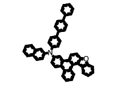 c1ccc(-c2ccc(-c3ccc(N(c4ccc5ccccc5c4)c4ccc5c6ccccc6c6c(ccc7oc8ccccc8c76)c5c4)cc3)cc2)cc1